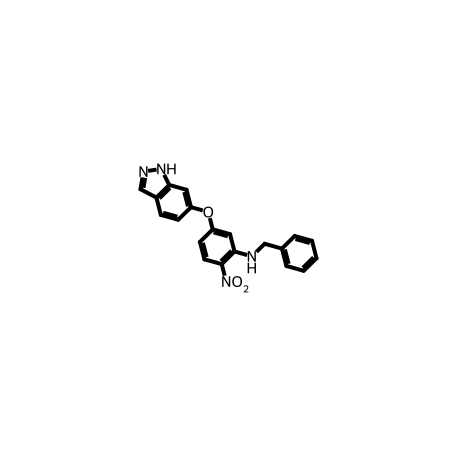 O=[N+]([O-])c1ccc(Oc2ccc3cn[nH]c3c2)cc1NCc1ccccc1